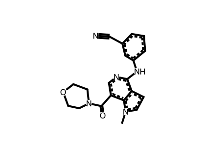 Cn1ccc2c(Nc3cccc(C#N)c3)ncc(C(=O)N3CCOCC3)c21